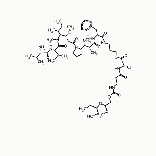 CCC(CO)OC(COC(=O)NCCC(=O)N[C@@H](C)C(=O)OCCCNC(=O)[C@H](Cc1ccccc1)NC(=O)[C@H](C)[C@@H](OC)[C@@H]1CCCN1C(=O)C[C@@H](OC)[C@H]([C@@H](C)CC)N(C)C(=O)[C@@H](NC(=O)[C@@H](N)C(C)C)C(C)C)OC